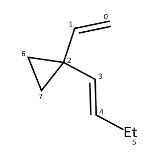 C=CC1(C=CCC)CC1